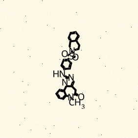 CN1C(=O)Cc2cnc(Nc3ccc(S(=O)(=O)N4CCc5ccccc5C4)cc3)nc2-c2ccccc21